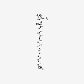 CCCCCCCCCCCCCC=CC=CC=CC(=O)OCC(C)C